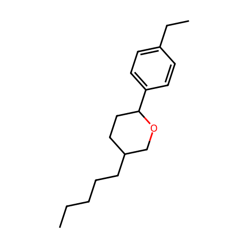 CCCCCC1CCC(c2ccc(CC)cc2)OC1